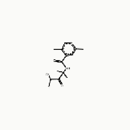 Cc1cc(C(=O)NC(C)(C)C(=O)C(Cl)Br)c(C)cn1